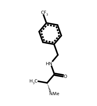 CN[C@H](C)C(=O)NCc1ccc(C(F)(F)F)cc1